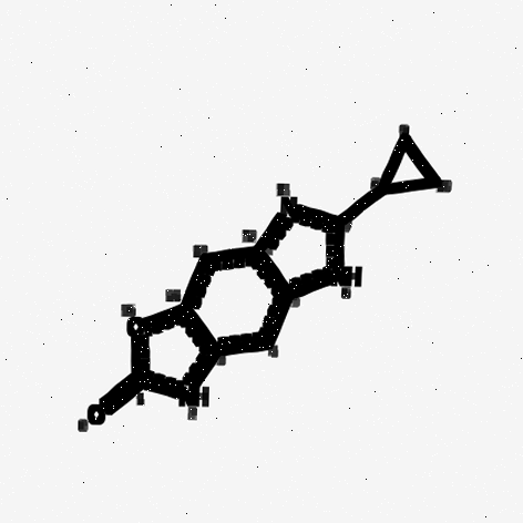 O=c1[nH]c2cc3[nH]c(C4CC4)nc3cc2o1